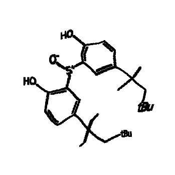 CC(C)(C)CC(C)(C)c1ccc(O)c([S+]([O-])c2cc(C(C)(C)CC(C)(C)C)ccc2O)c1